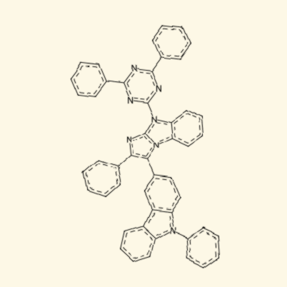 c1ccc(-c2nc(-c3ccccc3)nc(-n3c4ccccc4n4c(-c5ccc6c(c5)c5ccccc5n6-c5ccccc5)c(-c5ccccc5)nc34)n2)cc1